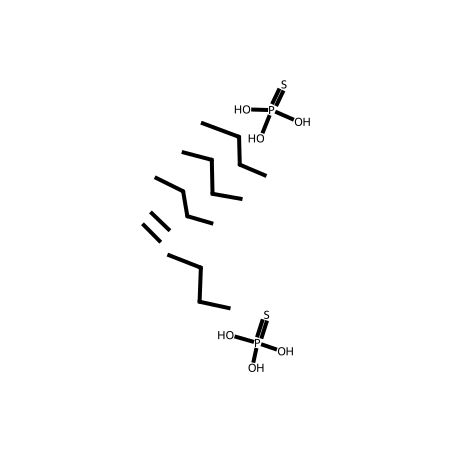 CC.CC.CCCC.CCCC.CCCC.CCCC.OP(O)(O)=S.OP(O)(O)=S